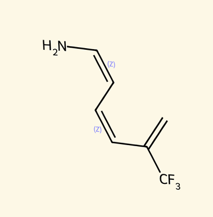 C=C(/C=C\C=C/N)C(F)(F)F